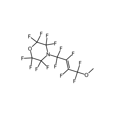 COC(F)(F)C(F)=C(F)C(F)(F)N1C(F)(F)C(F)(F)OC(F)(F)C1(F)F